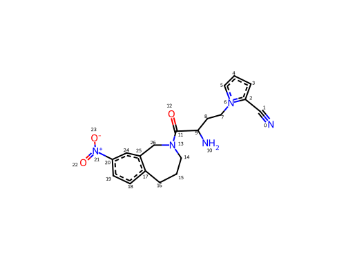 N#Cc1cccn1CCC(N)C(=O)N1CCCc2ccc([N+](=O)[O-])cc2C1